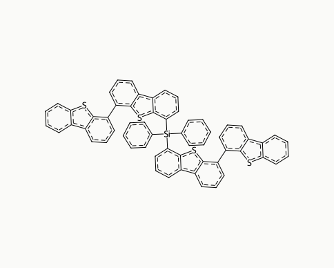 c1ccc([Si](c2ccccc2)(c2cccc3c2sc2c(-c4cccc5c4sc4ccccc45)cccc23)c2cccc3c2sc2c(-c4cccc5c4sc4ccccc45)cccc23)cc1